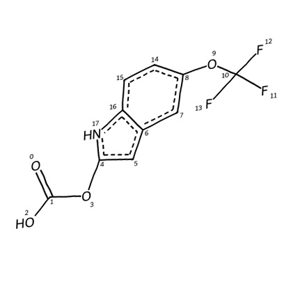 O=C(O)Oc1cc2cc(OC(F)(F)F)ccc2[nH]1